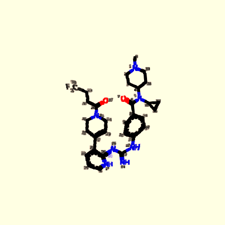 CN1CCC(N(C(=O)c2ccc(NC(=N)/N=c3\[nH]cccc3C3=CCN(C(=O)CCC(F)(F)F)CC3)cc2)C2CC2)CC1